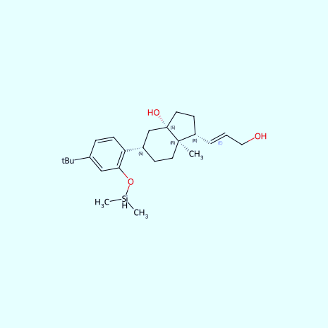 C[SiH](C)Oc1cc(C(C)(C)C)ccc1[C@H]1CC[C@]2(C)[C@@H](/C=C/CO)CC[C@]2(O)C1